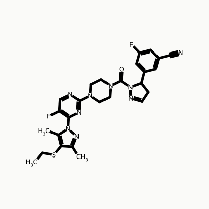 CCSc1c(C)nn(-c2nc(N3CCN(C(=O)N4N=CCC4c4cc(F)cc(C#N)c4)CC3)ncc2F)c1C